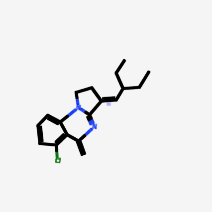 C=C1N=C2/C(=C/C(CC)CC)CCN2c2cccc(Cl)c21